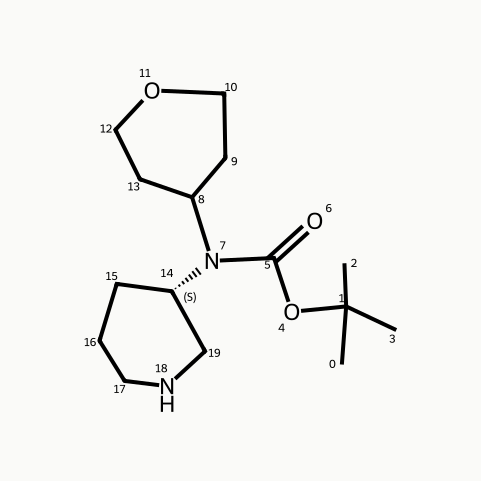 CC(C)(C)OC(=O)N(C1CCOCC1)[C@H]1CCCNC1